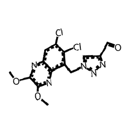 COc1nc2cc(Cl)c(Cl)c(Cn3cc(C=O)nn3)c2nc1OC